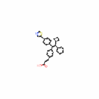 O=C(O)/C=C/c1ccc(/C(=C(\c2ccccc2)C2CCC2)c2ccc(-c3cncs3)cc2)cc1